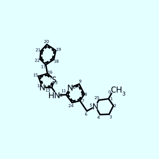 CC1CCCN(Cc2ccnc(Nc3ncc(-c4ccccc4)s3)c2)C1